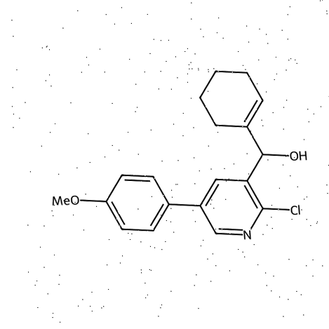 COc1ccc(-c2cnc(Cl)c(C(O)C3=CCCCC3)c2)cc1